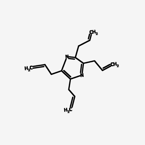 C=CCc1nc(CC=C)c(CC=C)nc1CC=C